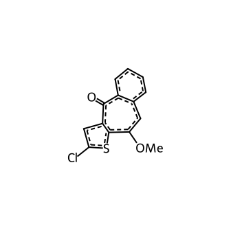 COc1cc2ccccc2c(=O)c2cc(Cl)sc12